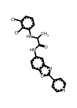 CC(Nc1cccc(Cl)c1Cl)C(=O)Nc1ccc2oc(-c3ccncc3)nc2c1